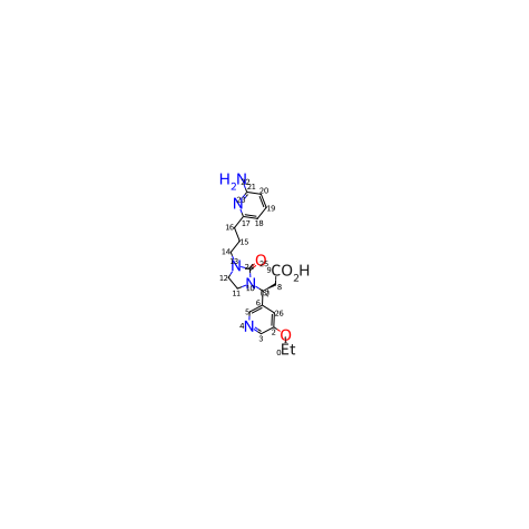 CCOc1cncc([C@H](CC(=O)O)N2CCN(CCCc3cccc(N)n3)C2=O)c1